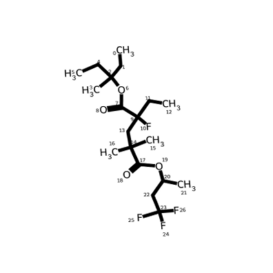 CCC(C)(CC)OC(=O)C(F)(CC)CC(C)(C)C(=O)OC(C)CC(F)(F)F